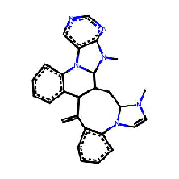 C=C1c2ccccc2N2C=CN(C)C2CC2C1c1ccccc1N1c3cncnc3N(C)C21